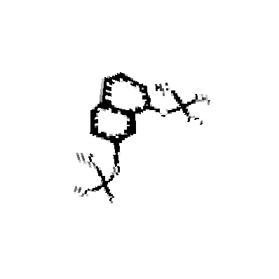 CC(C)(C)Oc1ccc2cccc(OC(C)(C)C)c2c1